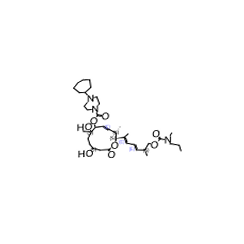 CCCN(C)C(=O)OC[C@@H](C)/C=C/C=C(\C)[C@H]1OC(=O)C[C@@H](O)CC[C@](C)(O)C(OC(=O)N2CCN(C3CCCCCC3)CC2)/C=C/[C@@H]1C